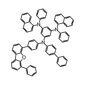 c1ccc(-c2ccc(N(c3ccc(-c4cccc5c4oc4c(-c6ccccc6)cccc45)cc3)c3cc(N(c4ccccc4)c4cccc5ccccc45)cc(N(c4ccccc4)c4cccc5ccccc45)c3)cc2)cc1